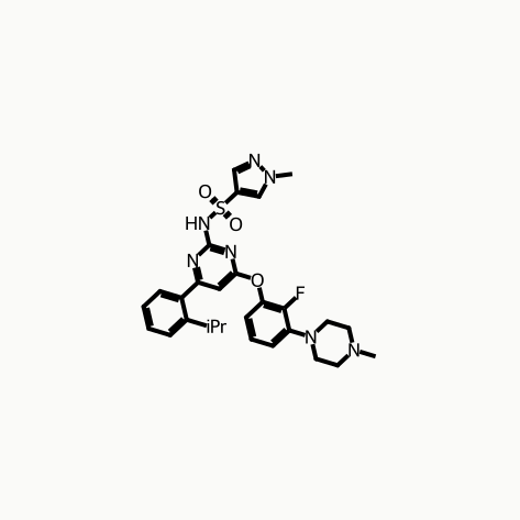 CC(C)c1ccccc1-c1cc(Oc2cccc(N3CCN(C)CC3)c2F)nc(NS(=O)(=O)c2cnn(C)c2)n1